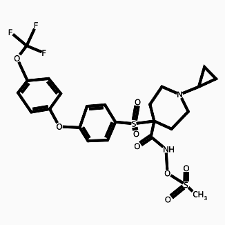 CS(=O)(=O)ONC(=O)C1(S(=O)(=O)c2ccc(Oc3ccc(OC(F)(F)F)cc3)cc2)CCN(C2CC2)CC1